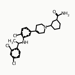 CC(Nc1cc(C2=CCN(C3CCCC(C(N)=O)C3)CC2)ccc1Cl)c1ccc(Cl)cc1Cl